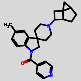 Cc1ccc2c(c1)C1(CCN(C3CC45CC4CCC35)CC1)CN2C(=O)c1ccncc1